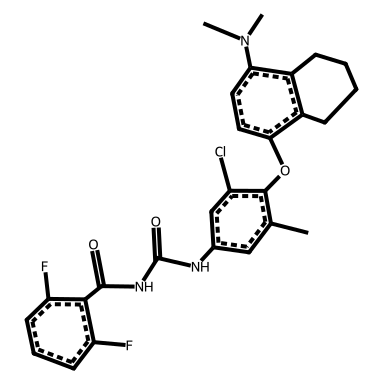 Cc1cc(NC(=O)NC(=O)c2c(F)cccc2F)cc(Cl)c1Oc1ccc(N(C)C)c2c1CCCC2